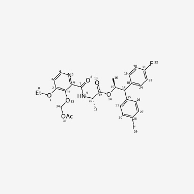 CCOc1ccnc(C(=O)N[C@@H](C)C(=O)O[C@@H](C)C(c2ccc(F)cc2)c2ccc(F)cc2)c1OCOC(C)=O